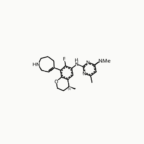 CNc1cc(C)nc(Nc2cc3c(c(C4=CCNCCC4)c2F)OCC[C@@H]3C)n1